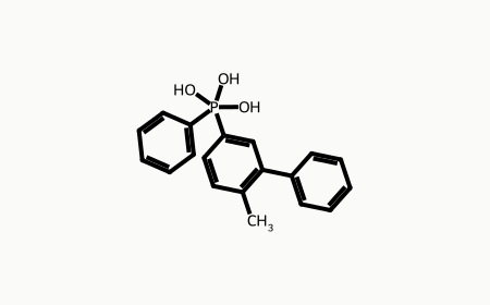 Cc1ccc(P(O)(O)(O)c2ccccc2)cc1-c1ccccc1